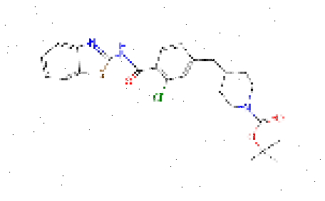 CC(C)(C)OC(=O)N1CCC(Cc2ccc(C(=O)Nc3nc4ccccc4s3)c(Cl)c2)CC1